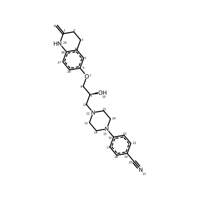 C=C1CCc2cc(OC[C@@H](O)CN3CCN(c4ccc(C#N)cc4)CC3)ccc2N1